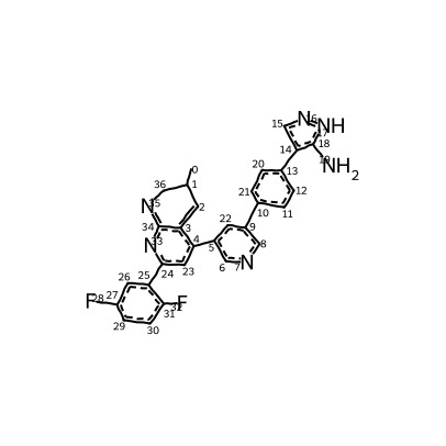 CC1C=c2c(-c3cncc(-c4ccc(-c5cn[nH]c5N)cc4)c3)cc(-c3cc(F)ccc3F)nc2=NC1